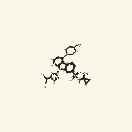 N#CC1(NS(=O)(=O)c2ccc3c4c(N5CCC(O)CC5)ccnc4n(-c4nnc(C(F)F)s4)c3c2)CC1